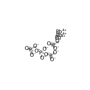 [O-]P([O-])[O-].[O-]P([O-])[O-].[O-]P([O-])[O-].[O-]P([O-])[O-].[Pb+4].[Pb+4].[Pb+4]